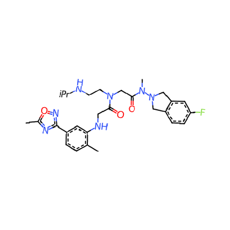 Cc1nc(-c2ccc(C)c(NCC(=O)N(CCNC(C)C)CC(=O)N(C)N3Cc4ccc(F)cc4C3)c2)no1